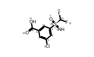 N=[S@@](=O)(c1cc(Cl)cc(C(=O)O)c1)C(F)F